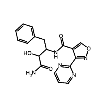 NC(=O)C(O)C(Cc1ccccc1)NC(=O)c1conc1-c1ncccn1